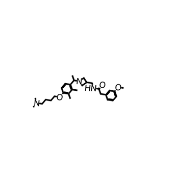 COc1cccc(CC(=O)NCC2CN(C(C)c3ccc(OCCCCN(C)C)c(C)c3C)C2)c1